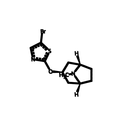 CN1[C@@H]2CC[C@H]1C[C@H](Oc1ncc(Br)s1)C2